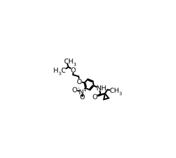 CCC1(C(=O)Nc2ccc(OCCOC(C)C)c([N+](=O)[O-])c2)CC1